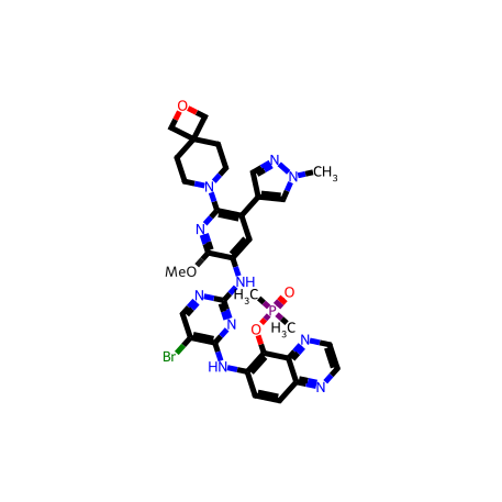 COc1nc(N2CCC3(CC2)COC3)c(-c2cnn(C)c2)cc1Nc1ncc(Br)c(Nc2ccc3nccnc3c2OP(C)(C)=O)n1